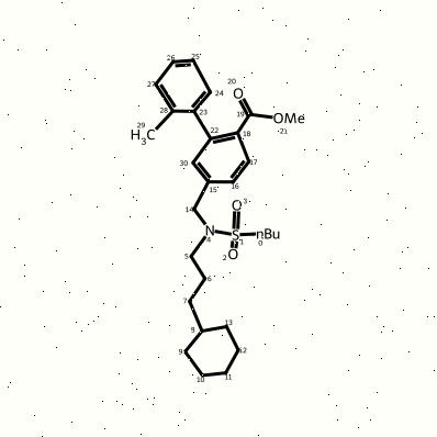 CCCCS(=O)(=O)N(CCCC1CCCCC1)Cc1ccc(C(=O)OC)c(-c2ccccc2C)c1